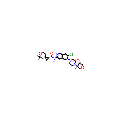 CC1(C)C[C@@]2(CCO1)C[C@H]2C(=O)Nc1cc2cc(N3CCN([C@]4(C)COC[C@@H]4O)CC3)c(Cl)cc2cn1